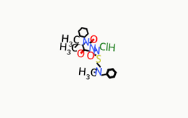 CC(C)[C@@H](C(=O)c1nnc(SCCN(C)Cc2ccccc2)o1)N(C=O)C1CCCCC1.Cl